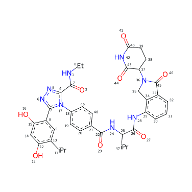 CCNC(=O)c1nnc(-c2cc(C(C)C)c(O)cc2O)n1-c1ccc(C(=O)NC(C(=O)Nc2cccc3c2CN(C2CCC(=O)NC2=O)C3=O)C(C)C)cc1